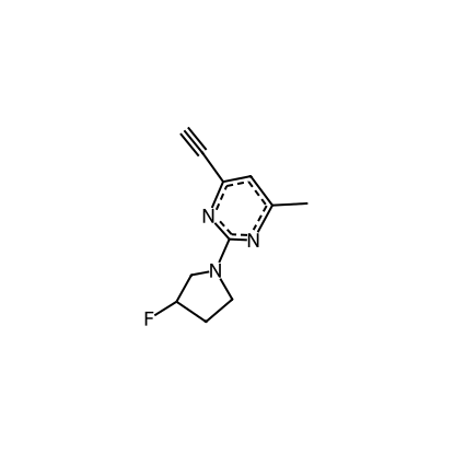 C#Cc1cc(C)nc(N2CCC(F)C2)n1